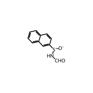 O=CN[S+]([O-])c1ccc2ccccc2c1